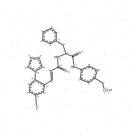 O=C(O)Cc1ccc(NC(=O)C(Cc2ccccc2)NC(=O)C=Cc2cc(Cl)ccc2-n2cnnn2)cc1